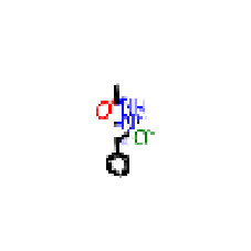 CC(=O)N[N+](C)(C)/C=C/c1ccccc1.[Cl-]